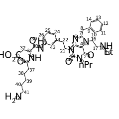 CCCn1c(=O)c2c(nc(Cc3ccccc3)n2CCNCC)n(CCc2cccc(NC(=O)C(CC(=O)O)NC(=O)CCCCCN)c2)c1=O